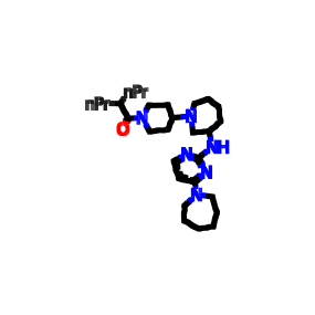 CCCC(CCC)C(=O)N1CCC(N2CCCCC(Nc3nccc(N4CCCCCC4)n3)C2)CC1